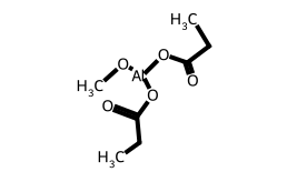 CCC(=O)[O][Al]([O]C)[O]C(=O)CC